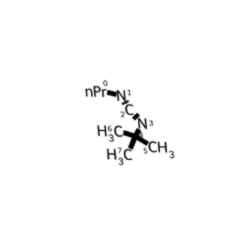 CCCN=C=NC(C)(C)C